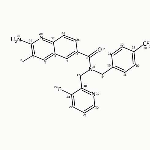 Cc1cc2cc(C(=O)N(Cc3ccc(C(F)(F)F)cc3)Cc3ncccc3F)ccc2nc1N